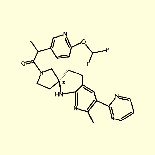 Cc1nc2c(cc1-c1ncccn1)CC[C@@]1(CCN(C(=O)C(C)c3ccc(OC(F)F)nc3)C1)N2